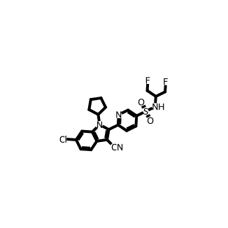 N#Cc1c(-c2ccc(S(=O)(=O)NC(CF)CF)cn2)n(C2CCCC2)c2cc(Cl)ccc12